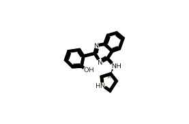 Oc1ccccc1-c1nc(N[C@@H]2CCNC2)c2ccccc2n1